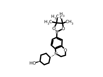 CC1(C)OB(c2ccc3c(c2)OCCN3[C@H]2CC[C@H](O)CC2)OC1(C)C